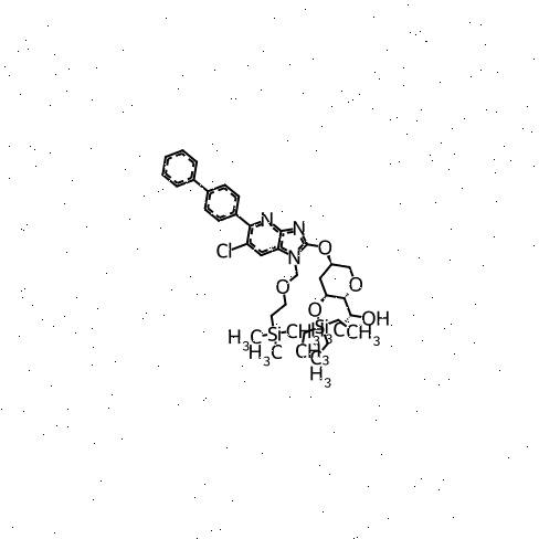 CC[Si](CC)(CC)O[C@H]1C[C@@H](Oc2nc3nc(-c4ccc(-c5ccccc5)cc4)c(Cl)cc3n2COCC[Si](C)(C)C)CO[C@@H]1[C@@H](C)O